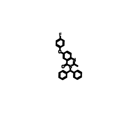 Cc1nc2ccc(Oc3ccc(F)cc3)cc2c(=O)n1C(c1ccccc1)c1ccccc1